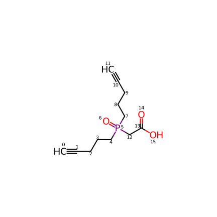 C#CCCCP(=O)(CCCC#C)CC(=O)O